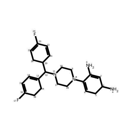 NC1=CC(N)CC=C1N1CCN(C(C2=CC=C(F)CC2)C2C=CC(F)=CC2)CC1